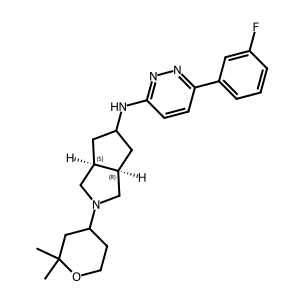 CC1(C)CC(N2C[C@H]3CC(Nc4ccc(-c5cccc(F)c5)nn4)C[C@H]3C2)CCO1